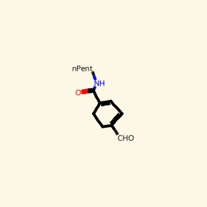 CCCCCNC(=O)C1=CC=C(C=O)CC1